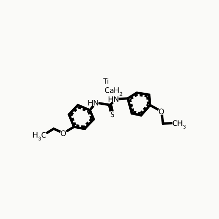 CCOc1ccc(NC(=S)Nc2ccc(OCC)cc2)cc1.[CaH2].[Ti]